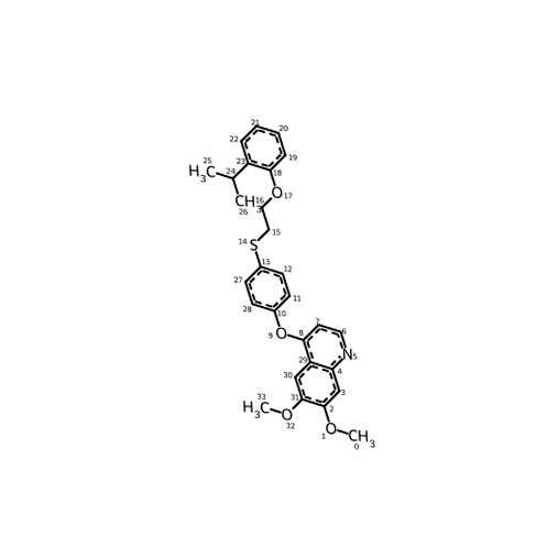 COc1cc2nccc(Oc3ccc(SCCOc4ccccc4C(C)C)cc3)c2cc1OC